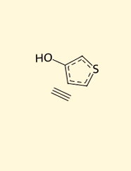 C#C.Oc1ccsc1